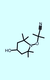 CC(C)(C#N)ON1C(C)(C)CC(O)CC1(C)C